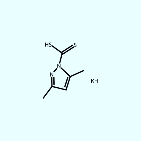 Cc1cc(C)n(C(=S)S)n1.[KH]